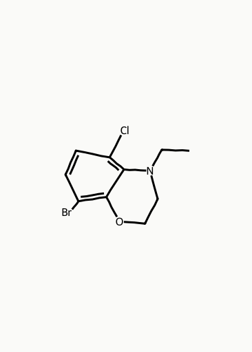 CCN1CCOc2c(Br)ccc(Cl)c21